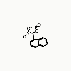 O=COC(c1cccc2ccccc12)[N+](=O)[O-]